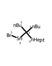 CCCCCCC[C](CCCC)(CCCC)[Sn][Br]